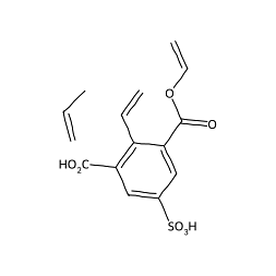 C=CC.C=COC(=O)c1cc(S(=O)(=O)O)cc(C(=O)O)c1C=C